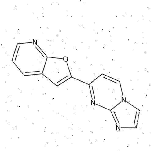 c1cnc2oc(-c3ccn4ccnc4n3)cc2c1